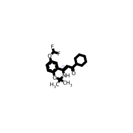 CC1(C)N/C(=C\C(=O)C2CCCCC2)c2cc(OC(F)F)ccc2O1